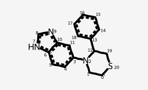 [CH]1CN(c2ccc3[nH]cnc3c2)C(c2ccccc2)CS1